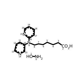 NO.O=C(O)CCCCCCN(c1cccnc1)c1ccccn1